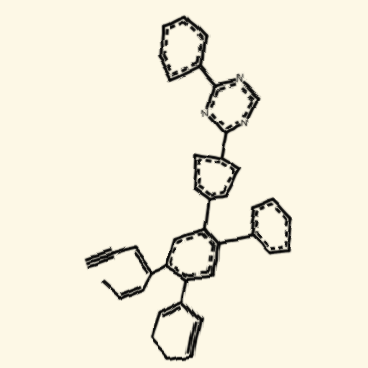 C#C/C=C(\C=C/C)c1cc(-c2ccc(-c3ncnc(-c4ccccc4)n3)cc2)c(-c2ccccc2)cc1C1=CCCC=C1